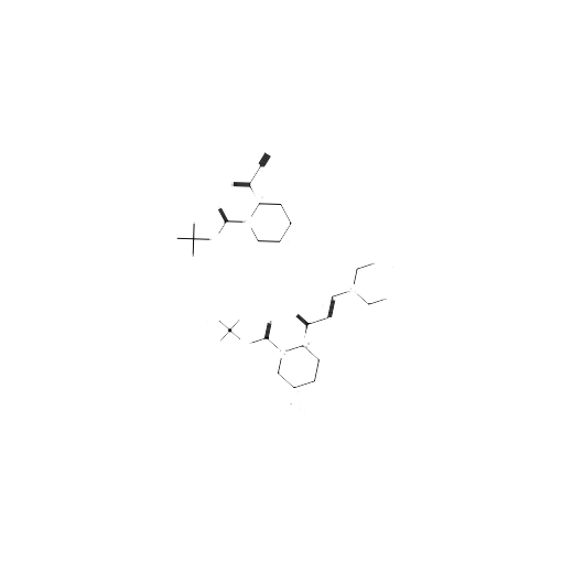 C#CC(=O)[C@H]1CC[C@H](C)CN1C(=O)OC(C)(C)C.CCN(/C=C/C(=O)[C@H]1CC[C@H](C)CN1C(=O)OC(C)(C)C)CC